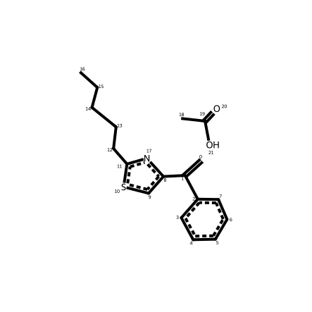 C=C(c1ccccc1)c1csc(CCCCC)n1.CC(=O)O